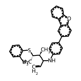 C=CC(Nc1ccc(-c2ccc3oc4ccccc4c3c2)cc1)[C@H](C)[C@H](C)Sc1ccccc1C(C)C